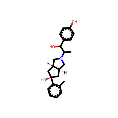 Cc1ccccc1[C@]1(O)C[C@H]2CN(C(C)C(O)c3ccc(O)cc3)C[C@H]2C1